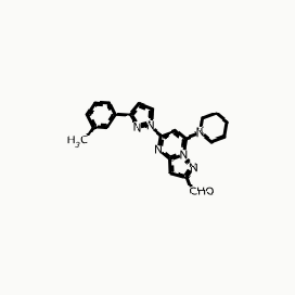 Cc1cccc(-c2ccn(-c3cc(N4CCCCC4)n4nc(C=O)cc4n3)n2)c1